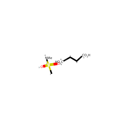 CNS(C)(=O)=O.O=C(O)CCC(=O)O